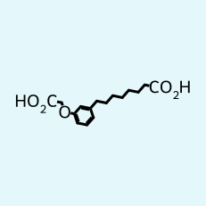 O=C(O)CCCCCCCc1cccc(OCC(=O)O)c1